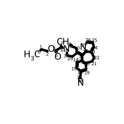 CCCOC(=O)C(C)N1CCC(=C2c3ccc(C#N)cc3CCc3cccnc32)CC1